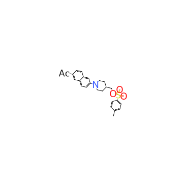 CC(=O)c1ccc2cc(N3CCC(COS(=O)(=O)c4ccc(C)cc4)CC3)ccc2c1